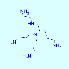 NCCCC(CNCCN)N(CCCN)CCCN